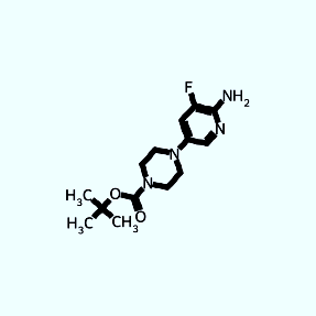 CC(C)(C)OC(=O)N1CCN(c2cnc(N)c(F)c2)CC1